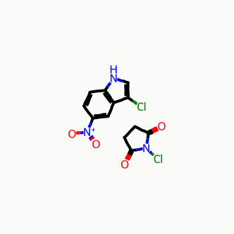 O=C1CCC(=O)N1Cl.O=[N+]([O-])c1ccc2[nH]cc(Cl)c2c1